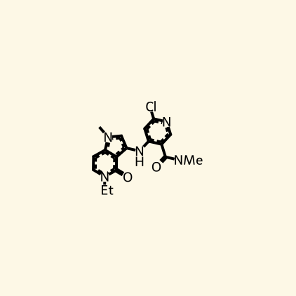 CCn1ccc2c(c(Nc3cc(Cl)ncc3C(=O)NC)cn2C)c1=O